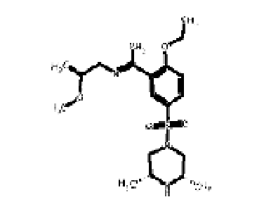 CCOc1ccc(S(=O)(=O)N2C[C@@H](C)N[C@@H](C)C2)cc1/C(N)=N/CC(C)OC